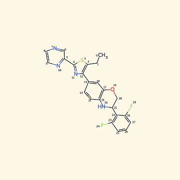 CCc1sc(-c2cnccn2)nc1-c1ccc2c(c1)OCC(c1c(F)cccc1F)N2